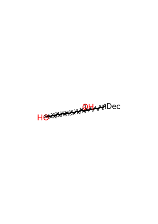 CCCCCCCCCCCCCCCCCC(O)CCCCCCCCCCCCCCCCO